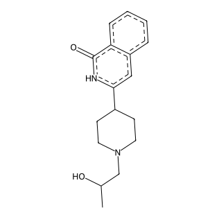 CC(O)CN1CCC(c2cc3ccccc3c(=O)[nH]2)CC1